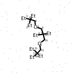 CCC(CC)(CC)COCC(CC)(CC)COCC(CC)(CC)CC